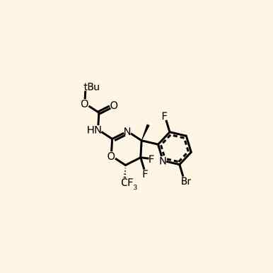 CC(C)(C)OC(=O)NC1=N[C@](C)(c2nc(Br)ccc2F)C(F)(F)[C@H](C(F)(F)F)O1